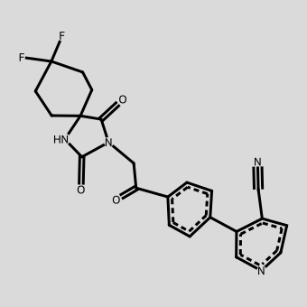 N#Cc1ccncc1-c1ccc(C(=O)CN2C(=O)NC3(CCC(F)(F)CC3)C2=O)cc1